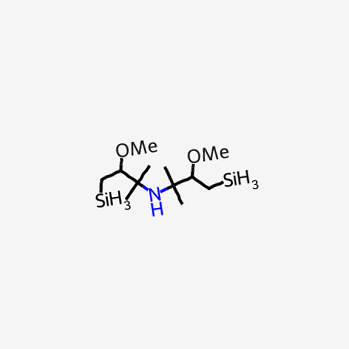 COC(C[SiH3])C(C)(C)NC(C)(C)C(C[SiH3])OC